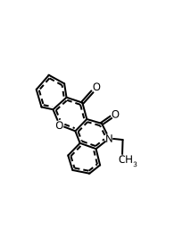 CCn1c(=O)c2c(=O)c3ccccc3oc2c2ccccc21